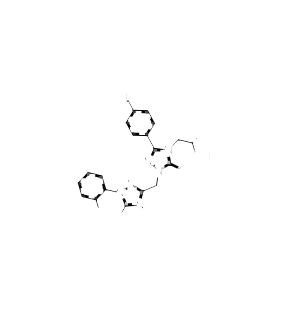 CCOC(=O)c1nc(Cn2nc(-c3ccc(Cl)cc3)n(C[C@H](O)C(F)(F)F)c2=O)nn1-c1ccccc1Cl